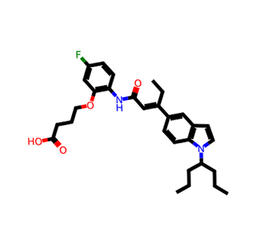 CCCC(CCC)n1ccc2cc(C(=CC(=O)Nc3ccc(F)cc3OCCCC(=O)O)CC)ccc21